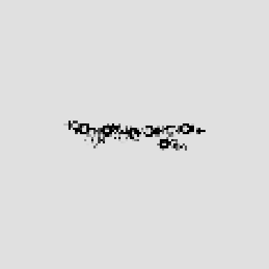 CC(C)Oc1ccccc1[C@H]1CN(C2CCC(C)(O)CC2)CCN1C1CC2(CCN(c3ccc(C(=O)NS(=O)(=O)c4ccc(NCC5CCC(C)(O)CC5)c([N+](=O)[O-])c4)cc3)CC2)C1